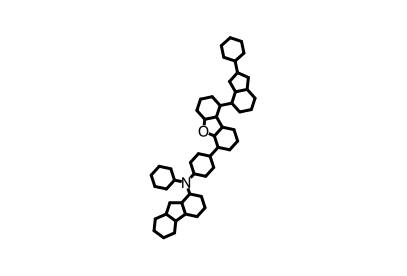 C1CCC(C2CC3CCCC(C4CCCC5OC6C(C7CCC(N(C8CCCCC8)C8CCCC9C%10CCCCC%10CC98)CC7)CCCC6C54)C3C2)CC1